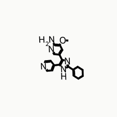 COc1cc(-c2nc(C3=CCCCC3)[nH]c2-c2ccncc2)cnc1N